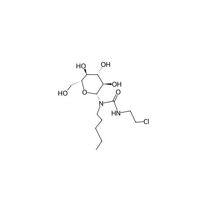 CCCCCN(C(=O)NCCCl)[C@@H]1O[C@H](CO)[C@@H](O)[C@H](O)[C@H]1O